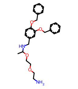 CC(NCc1ccc(OCc2ccccc2)c(OCc2ccccc2)c1)OCCOCCN